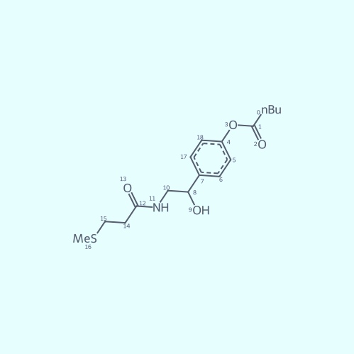 CCCCC(=O)Oc1ccc(C(O)CNC(=O)CCSC)cc1